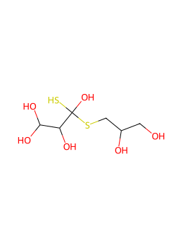 OCC(O)CSC(O)(S)C(O)C(O)O